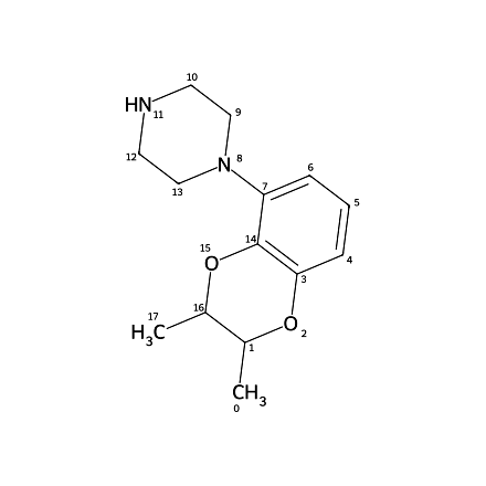 CC1Oc2cccc(N3CCNCC3)c2OC1C